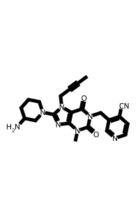 CC#CCn1c(N2CCCC(N)C2)nc2c1c(=O)n(Cc1cnccc1C#N)c(=O)n2C